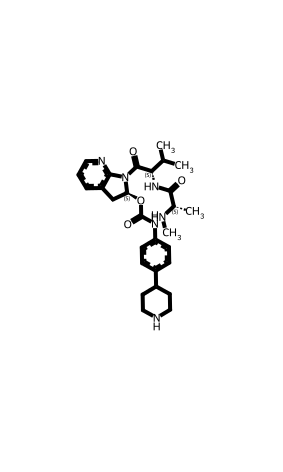 CN[C@@H](C)C(=O)N[C@H](C(=O)N1c2ncccc2C[C@@H]1OC(=O)Nc1ccc(C2CCNCC2)cc1)C(C)C